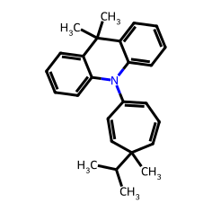 CC(C)C1(C)C=CC=C(N2c3ccccc3C(C)(C)c3ccccc32)C=C1